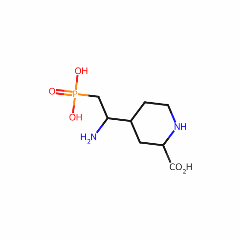 NC(CP(=O)(O)O)C1CCNC(C(=O)O)C1